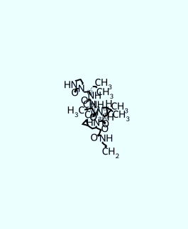 C=CCNC(=O)C(=O)C(CC1CC1)NC(=O)[C@@H]1[C@@H]2[C@H](CN1C(=O)[C@@H](NC(=O)N[C@@H](CC(C)C)CN1CCCNC1=O)C(C)(C)C)C2(C)C